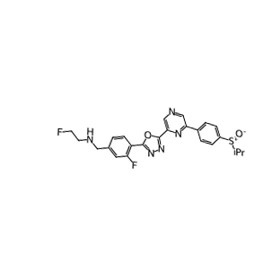 CC(C)[S+]([O-])c1ccc(-c2cncc(-c3nnc(-c4ccc(CNCCF)cc4F)o3)n2)cc1